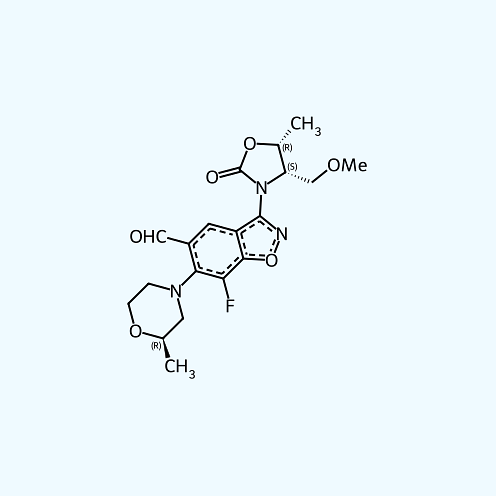 COC[C@H]1[C@@H](C)OC(=O)N1c1noc2c(F)c(N3CCO[C@H](C)C3)c(C=O)cc12